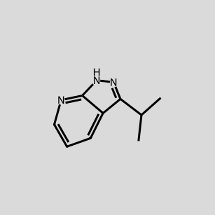 CC(C)c1n[nH]c2ncccc12